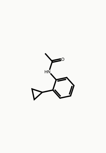 CC(=O)Nc1ccccc1C1CC1